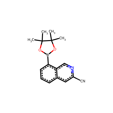 CC1(C)OB(c2cccc3cc(C#N)ncc23)OC1(C)C